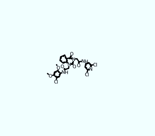 COc1cc(OC)c(NC(=O)Cn2c(=O)n(CC(=O)Nc3cc(Cl)nc(Cl)c3)c(=O)c3ccccc32)cc1Cl